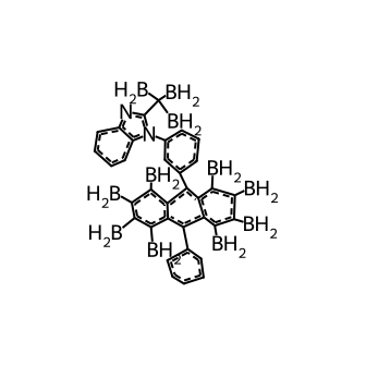 Bc1c(B)c(B)c2c(-c3cccc(-n4c(C(B)(B)B)nc5ccccc54)c3)c3c(B)c(B)c(B)c(B)c3c(-c3ccccc3)c2c1B